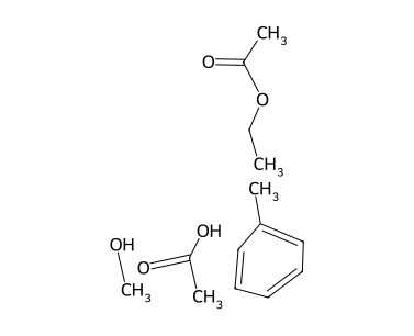 CC(=O)O.CCOC(C)=O.CO.Cc1ccccc1